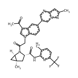 CC(=O)c1cn(CC(=O)N2[C@H](C(=O)Nc3nc(C(F)(F)F)ccc3C)C[C@@]3(C)C[C@@H]23)c2ccc(-c3cnc4cc(C)nn4c3)cc12